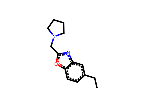 CCc1ccc2oc(CN3CCCC3)nc2c1